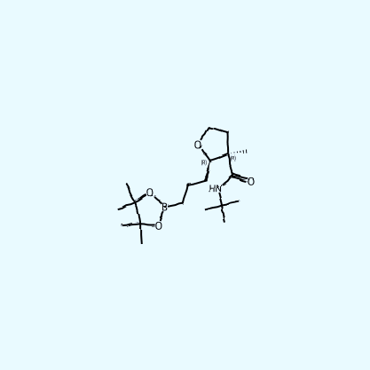 CC(C)(C)NC(=O)[C@]1(C)CCO[C@@H]1CCCB1OC(C)(C)C(C)(C)O1